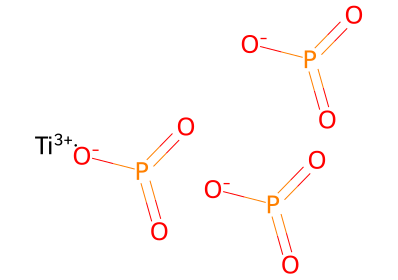 O=P(=O)[O-].O=P(=O)[O-].O=P(=O)[O-].[Ti+3]